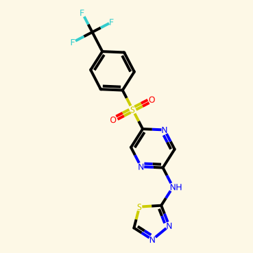 O=S(=O)(c1ccc(C(F)(F)F)cc1)c1cnc(Nc2nncs2)cn1